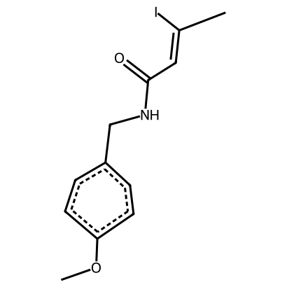 COc1ccc(CNC(=O)C=C(C)I)cc1